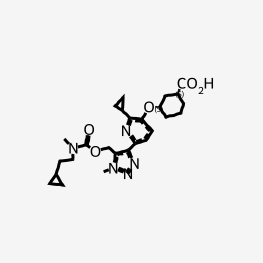 CN(CCC1CC1)C(=O)OCc1c(-c2ccc(O[C@H]3CCC[C@H](C(=O)O)C3)c(C3CC3)n2)nnn1C